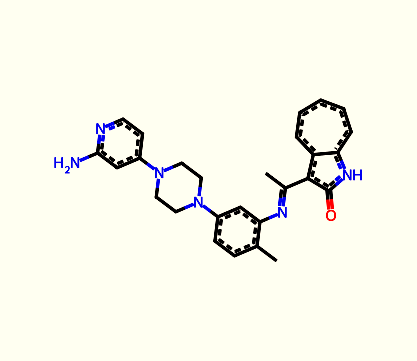 C/C(=N\c1cc(N2CCN(c3ccnc(N)c3)CC2)ccc1C)c1c2cccccc-2[nH]c1=O